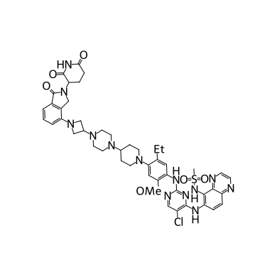 CCc1cc(Nc2ncc(Cl)c(Nc3ccc4nccnc4c3NS(C)(=O)=O)n2)c(OC)cc1N1CCC(N2CCN(C3CN(c4cccc5c4CN(C4CCC(=O)NC4=O)C5=O)C3)CC2)CC1